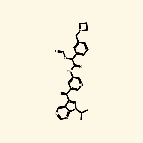 CC(C)n1cc(C(=O)c2cncc(NC(=O)C(OC=O)c3cccc(CN4CCC4)c3)c2)c2cncnc21